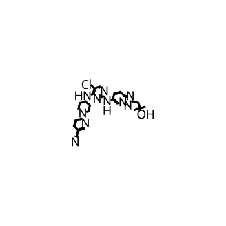 CC(C)(O)Cc1nc2ccc(Nc3ncc(Cl)c(NC4CCN(c5ccc(C#N)cn5)CC4)n3)cn2n1